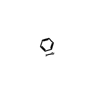 BrI.c1ccccc1